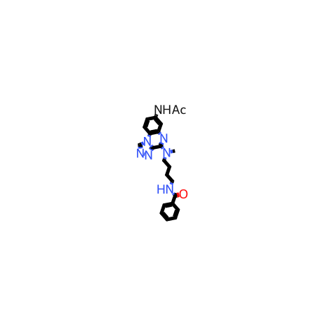 CC(=O)Nc1ccc2c(c1)nc(N(C)CCCCNC(=O)c1ccccc1)c1nncn12